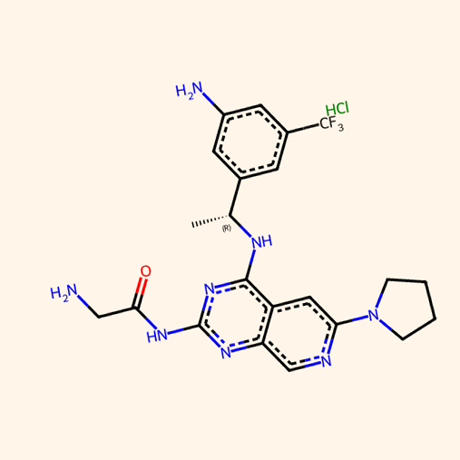 C[C@@H](Nc1nc(NC(=O)CN)nc2cnc(N3CCCC3)cc12)c1cc(N)cc(C(F)(F)F)c1.Cl